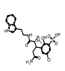 NC(=O)CC(c1cc(Cl)cc(S(=O)(=O)O)c1O)[C@H](N)C(=O)NCCc1c[nH]c2ccccc12